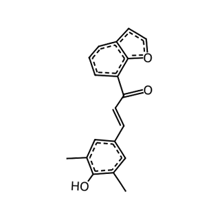 Cc1cc(/C=C/C(=O)c2cccc3ccoc23)cc(C)c1O